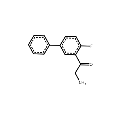 CCC(=O)c1cc(-c2ccccc2)ccc1F